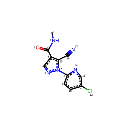 CNC(=O)c1cnn(-c2ccc(Cl)cn2)c1C#N